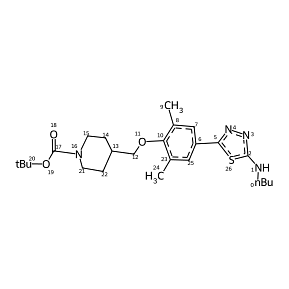 CCCCNc1nnc(-c2cc(C)c(OCC3CCN(C(=O)OC(C)(C)C)CC3)c(C)c2)s1